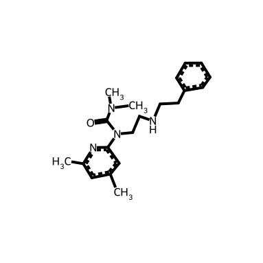 Cc1cc(C)nc(N(CCNCCc2ccccc2)C(=O)N(C)C)c1